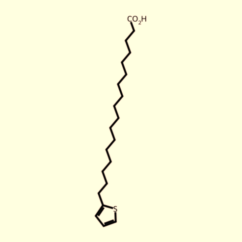 O=C(O)CCCCCCCCCCCCCCCCc1cccs1